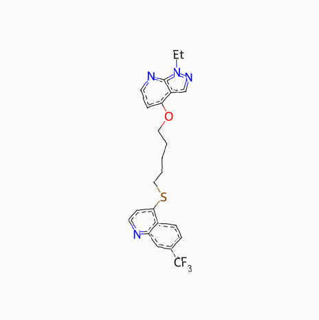 CCn1ncc2c(OCCCCCSc3ccnc4cc(C(F)(F)F)ccc34)ccnc21